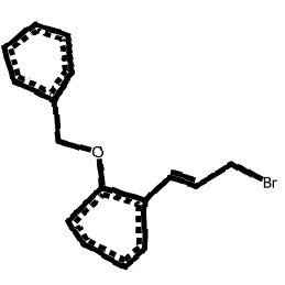 BrC/C=C/c1ccccc1OCc1ccccc1